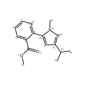 COC(=O)c1cccnc1-c1cc(C(C)C)nn1C